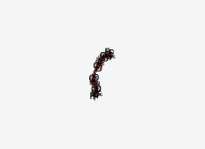 O=C(CCCCCC(=O)Oc1ccc2cc(C(=O)Oc3cc(F)c(F)c(F)c3)ccc2c1)Oc1ccc2cc(C(=O)Oc3cc(F)c(F)c(F)c3)ccc2c1